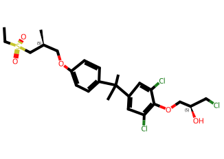 CCS(=O)(=O)C[C@@H](C)COc1ccc(C(C)(C)c2cc(Cl)c(OC[C@H](O)CCl)c(Cl)c2)cc1